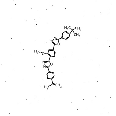 C=C(C)c1ccc(-c2nnc(-c3ccc(-c4nnc(-c5ccc(C(C)(C)C)cc5)o4)cc3OC)o2)cc1